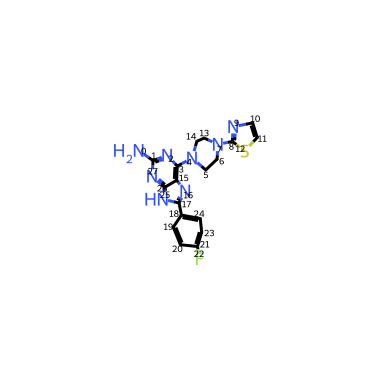 Nc1nc(N2CCN(c3nccs3)CC2)c2nc(-c3ccc(F)cc3)[nH]c2n1